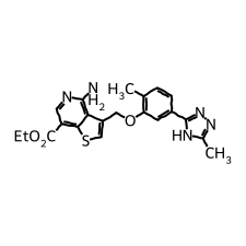 CCOC(=O)c1cnc(N)c2c(COc3cc(-c4nnc(C)[nH]4)ccc3C)csc12